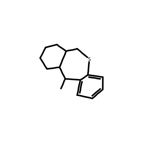 CC1c2ccccc2SCC2CCCCC21